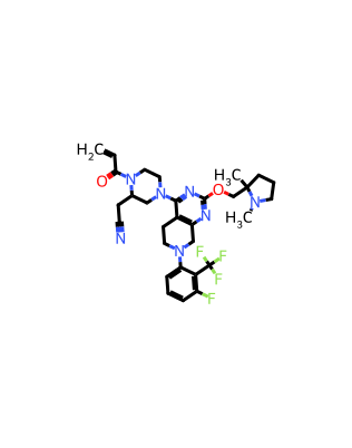 C=CC(=O)N1CCN(c2nc(OCC3(C)CCCN3C)nc3c2CCN(c2cccc(F)c2C(F)(F)F)C3)CC1CC#N